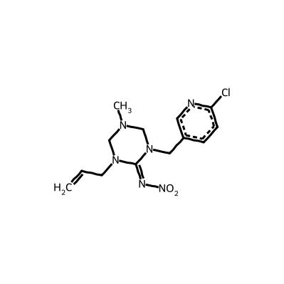 C=CCN1CN(C)CN(Cc2ccc(Cl)nc2)/C1=N\[N+](=O)[O-]